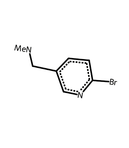 CNCc1ccc(Br)nc1